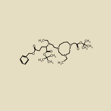 CCN1CCN(CCN(CC)C(CCC(=O)OCc2ccccc2)C(=O)OC(C)(C)C)CCCN(CC(=O)OC(C)(C)C)CC1